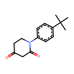 CC(C)(C)c1ccc(N2CCC(=O)CC2=O)cc1